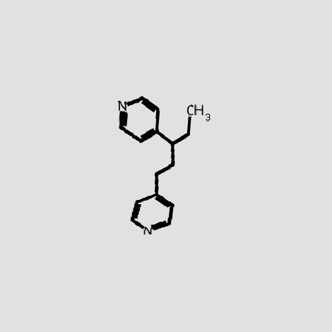 CCC(CCc1ccncc1)c1ccncc1